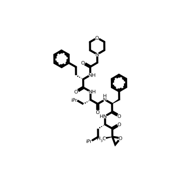 CC(C)CC[C@H](NC(=O)[C@H](Cc1ccccc1)NC(=O)[C@H](CC(C)C)NC(=O)[C@H](CCc1ccccc1)NC(=O)CN1CCOCC1)C(=O)[C@@]1(C)CO1